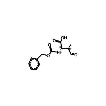 C[C@@H](C=O)[C@H](NC(=O)OCc1ccccc1)C(=O)O